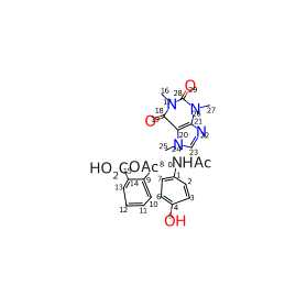 CC(=O)Nc1ccc(O)cc1.CC(=O)Oc1ccccc1C(=O)O.Cn1c(=O)c2c(ncn2C)n(C)c1=O